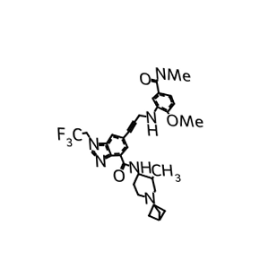 CNC(=O)c1ccc(OC)c(NCC#Cc2cc(C(=O)N[C@H]3CCN(C45CC(C4)C5)C[C@@H]3C)c3ncn(CC(F)(F)F)c3c2)c1